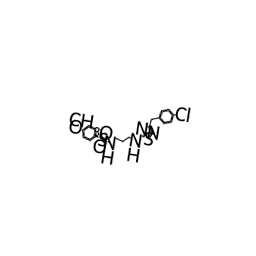 COc1ccc(S(=O)(=O)NCCCNc2nc(Cc3ccc(Cl)cc3)ns2)cc1